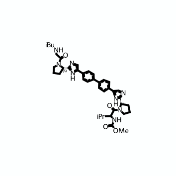 CCC(C)NCC(=O)N1CCC[C@H]1c1ncc(-c2ccc(-c3ccc(-c4cnc([C@@H]5CCCN5C(=O)C(NC(=O)OC)C(C)C)[nH]4)cc3)cc2)[nH]1